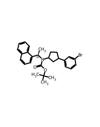 C[C@H](c1cccc2ccccc12)N(C(=O)OC(C)(C)C)C1CCC(c2cccc(Br)c2)C1